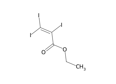 CCOC(=O)C(I)=C(I)I